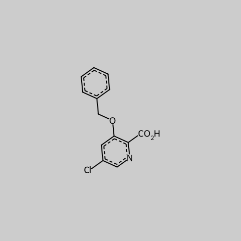 O=C(O)c1ncc(Cl)cc1OCc1ccccc1